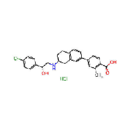 Cc1cc(-c2ccc3c(c2)C[C@@H](NC[C@H](O)c2ccc(Cl)cc2)CC3)ccc1C(=O)O.Cl